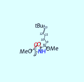 COC(=O)[C@H](C)NC(=O)[C@@H](CCC/C=C/C(C)(C)C)OC